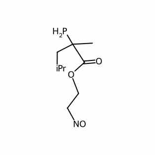 CC(C)CC(C)(P)C(=O)OCCN=O